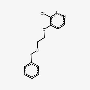 Clc1nnccc1OCCOCc1ccccc1